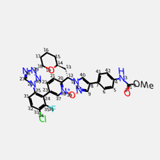 COC(=O)Nc1ccc(-c2cnn([C@@H](C[C@@H]3CCCCO3)c3ccc(-c4c(-n5cnnn5)ccc(Cl)c4F)c[n+]3[O-])c2)cc1